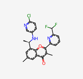 Cc1cc([C@@H](C)Nc2ccc(Cl)nc2)c2oc(-c3cccc(C(F)F)n3)c(C)c(=O)c2c1